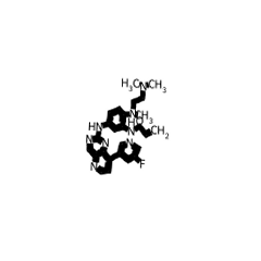 C=CC(=O)Nc1cc(Nc2ncc3nccc(-c4cncc(F)c4)c3n2)ccc1N(C)CCN(C)C